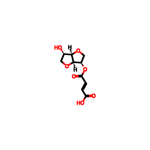 O=C(O)/C=C/C(=O)O[C@H]1CO[C@H]2[C@@H]1OC[C@@H]2O